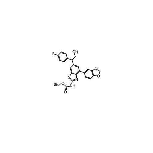 CC(C)(C)OC(=O)Nc1nc2c(-c3ccc4c(c3)OCO4)cc(C(CO)c3ccc(F)cc3)cc2s1